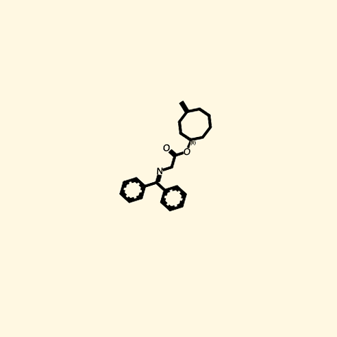 C=C1CCCC[C@@H](OC(=O)CN=C(c2ccccc2)c2ccccc2)CC1